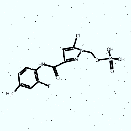 Cc1ccc(NC(=O)c2cc(Cl)n(COP(=O)(O)O)n2)c(F)c1